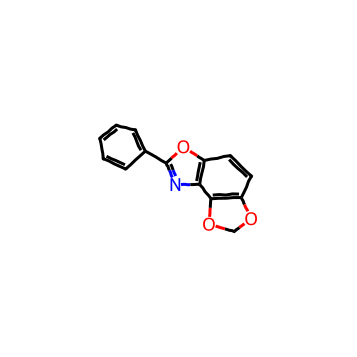 c1ccc(-c2nc3c4c(ccc3o2)OCO4)cc1